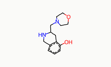 Oc1cccc2c1CC(CN1CCOCC1)NC2